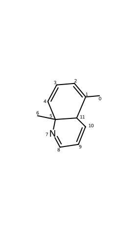 CC1=CC=CC2(C)N=CC=CC12